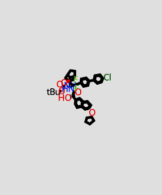 CC(C)(C)OC(=O)NC1CC2CCC(C1)C2C(=O)[C@@H](NC(=O)[C@@H](O)c1ccc2cc(OC3CCCC3)ccc2c1)C(F)(F)c1ccc(-c2ccc(Cl)cc2)cc1